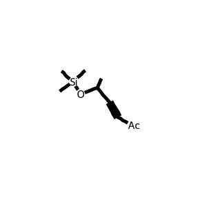 CC(=O)C#CC(C)O[Si](C)(C)C